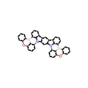 c1ccc2c(c1)Oc1cccc3c1B2c1cccc2c4cc5c6cccc7c6n(c5cc4n-3c12)-c1cccc2c1B7c1ccccc1O2